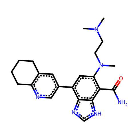 CN(C)CCN(C)c1cc(-c2cnc3c(c2)CCCC3)c2nc[nH]c2c1C(N)=O